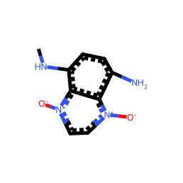 CNc1ccc(N)c2c1[n+]([O-])cc[n+]2[O-]